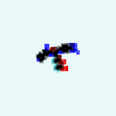 CC(NC(=O)C1CC(c2ccncc2)CN1)C(=O)NCc1ccc(C(=N)N)cc1.O=C(O)C(F)(F)F.O=C(O)C(F)(F)F